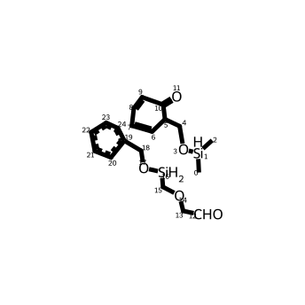 C[SiH](C)OCC1C=CC=CC1=O.O=CCOC[SiH2]OCc1ccccc1